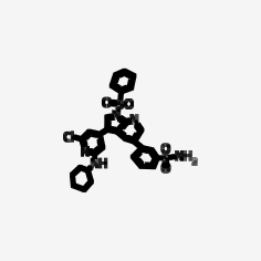 NS(=O)(=O)c1cccc(-c2cnc3c(c2)c(-c2cc(Cl)nc(NC4CCCCC4)c2)cn3S(=O)(=O)c2ccccc2)c1